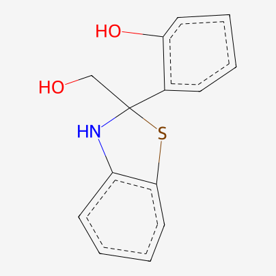 OCC1(c2ccccc2O)Nc2ccccc2S1